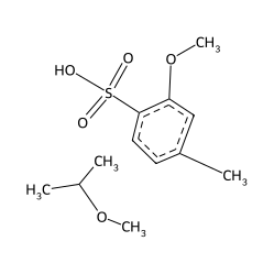 COC(C)C.COc1cc(C)ccc1S(=O)(=O)O